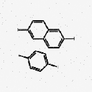 Ic1ccc(I)cc1.Ic1ccc2cc(I)ccc2c1